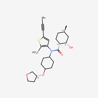 C[C@@H]1CC[C@@H](C(=O)N(c2cc(C#CC(C)(C)C)sc2C(=O)O)C2CCC(O[C@@H]3CCOC3)CC2)[C@@H](O)C1